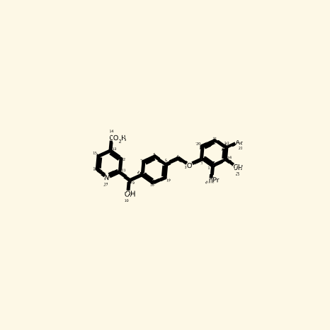 CCCc1c(OCc2ccc(C(O)c3cc(C(=O)O)ccn3)cc2)ccc(C(C)=O)c1O